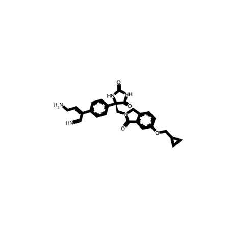 N=C/C(=C\CN)c1ccc([C@]2(CN3Cc4ccc(OCC5CC5)cc4C3=O)NC(=O)NC2=O)cc1